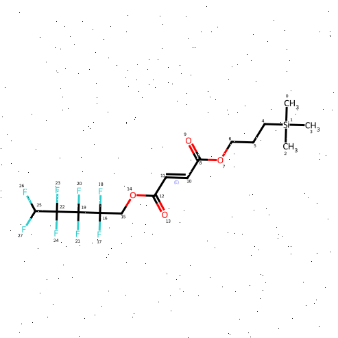 C[Si](C)(C)CCCOC(=O)/C=C/C(=O)OCC(F)(F)C(F)(F)C(F)(F)C(F)F